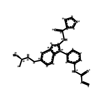 C=CC(=O)Nc1cccc(-n2c(NC(=O)c3cncs3)nc3cc(CN[C@@H](C)C(C)(C)C)ccc32)c1